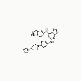 c1ccn(C2CCN(c3ccc(Nc4nc(Nc5ccc6[nH]ncc6c5)c5sccc5n4)cc3)CC2)c1